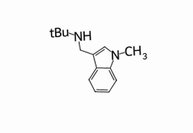 Cn1cc(CNC(C)(C)C)c2ccccc21